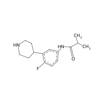 CC(C)C(=O)Nc1ccc(F)c(C2CCNCC2)c1